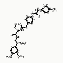 COc1ccc(C(CNC(=O)[C@H](CC(C)C)NC(=O)Cc2ccc(NC(=O)Nc3ccc(C)cn3)cc2)C(=O)O)cc1OC